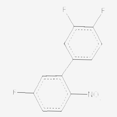 O=[N+]([O-])c1ccc(F)cc1-c1ccc(F)c(F)c1